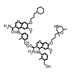 COc1cc2c(Nc3cccc(CO)c3C)c(C(N)=O)cnc2cc1OCCCC1(C)CNCC(C)O1.COc1cc2c(Nc3cccc(CO)c3C)c(C(N)=O)cnc2cc1OCCCN1CCCCC1